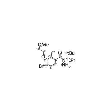 CCC(N(N)C(=O)c1ccc(Br)c(OCCOC)c1C)C(C)(C)C